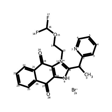 CC(c1ccccn1)c1[nH]c2c([n+]1CCOC(F)F)C(=O)c1ccccc1C2=O.[Br-]